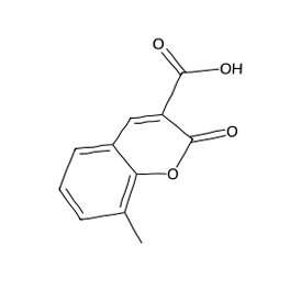 Cc1cccc2cc(C(=O)O)c(=O)oc12